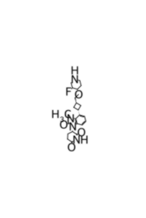 Cn1c(=O)n(C2CCC(=O)NC2=O)c2cccc([C@H]3C[C@H](CO[C@H]4CCNC[C@@H]4F)C3)c21